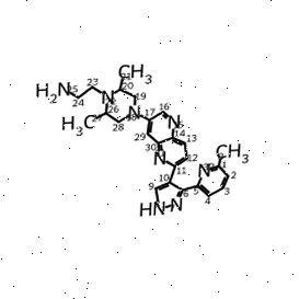 Cc1cccc(-c2n[nH]cc2-c2ccc3ncc(N4CC(C)N(CCN)C(C)C4)cc3n2)n1